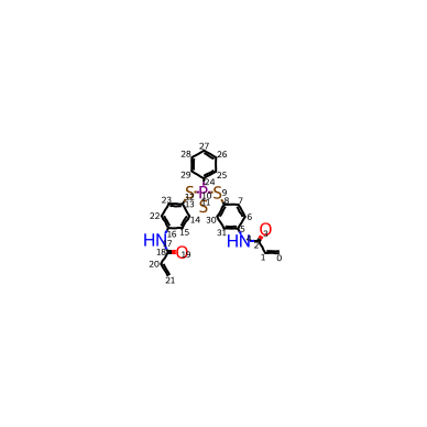 C=CC(=O)Nc1ccc(SP(=S)(Sc2ccc(NC(=O)C=C)cc2)c2ccccc2)cc1